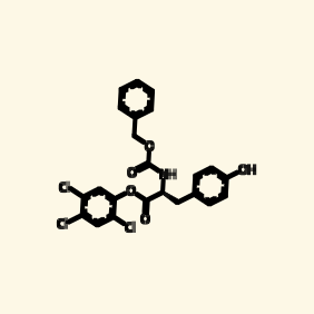 O=C(N[C@@H](Cc1ccc(O)cc1)C(=O)Oc1cc(Cl)c(Cl)cc1Cl)OCc1ccccc1